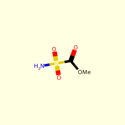 COC(=O)S(N)(=O)=O